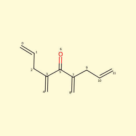 C=CCC(=C)C(=O)C(=C)CC=C